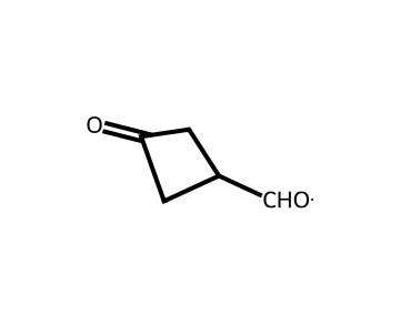 O=[C]C1CC(=O)C1